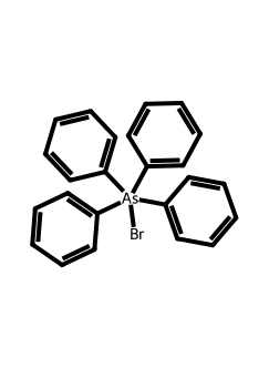 Br[As](c1ccccc1)(c1ccccc1)(c1ccccc1)c1ccccc1